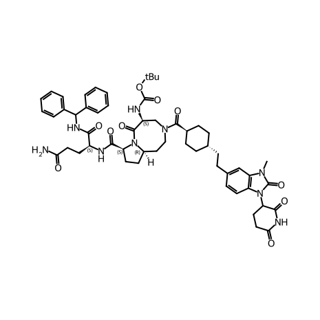 Cn1c(=O)n(C2CCC(=O)NC2=O)c2ccc(CC[C@H]3CC[C@H](C(=O)N4CC[C@H]5CC[C@@H](C(=O)N[C@@H](CCC(N)=O)C(=O)NC(c6ccccc6)c6ccccc6)N5C(=O)[C@@H](NC(=O)OC(C)(C)C)C4)CC3)cc21